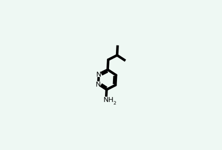 CC(C)Cc1ccc(N)nn1